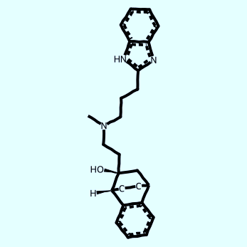 CN(CCCc1nc2ccccc2[nH]1)CC[C@]1(O)CC2CC[C@@H]1c1ccccc12